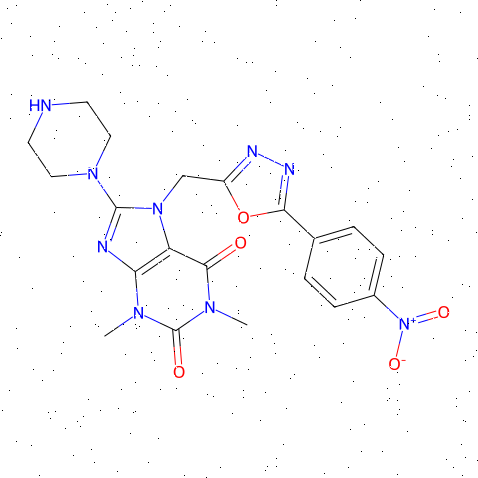 Cn1c(=O)c2c(nc(N3CCNCC3)n2Cc2nnc(-c3ccc([N+](=O)[O-])cc3)o2)n(C)c1=O